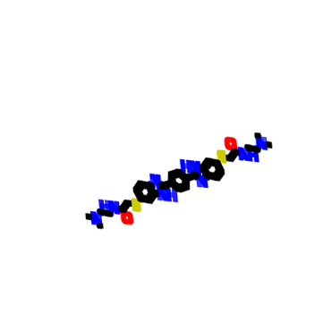 CN(C)CCNC(=O)CSc1ccc2nc(-c3ccc(-c4nc5ccc(SCC(=O)NCCN(C)C)cc5[nH]4)cc3)[nH]c2c1